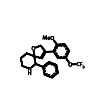 COc1ccc(OC(F)(F)F)cc1C1=CC2(CCCNC2c2ccccc2)OC1